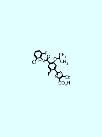 CCc1sc(-c2cc(OC(C)C(F)(F)F)c(C(=O)Nc3c(F)cccc3Cl)cc2F)nc1C(=O)O